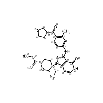 Cc1cc(Nc2nn([C@]3(CC#N)CC[C@@H](C(=O)OC(C)(C)C)OC3)c3cc[nH]c(=O)c23)ccc1C(=O)N1CCSC1